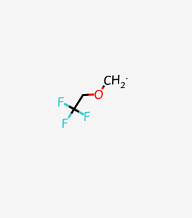 [CH2]OCC(F)(F)F